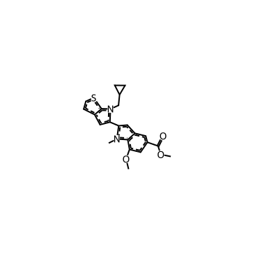 COC(=O)c1cc(OC)c2c(c1)cc(-c1cc3ccsc3n1CC1CC1)n2C